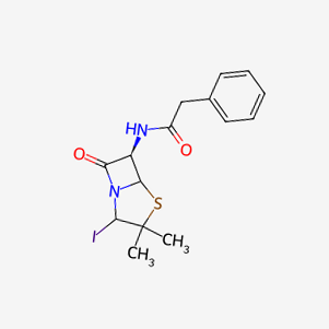 CC1(C)SC2[C@H](NC(=O)Cc3ccccc3)C(=O)N2C1I